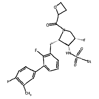 CCS(=O)(=O)N[C@H]1[C@@H](F)CN(C(=O)C2CCO2)[C@H]1Cc1cccc(-c2ccc(F)c(C)c2)c1F